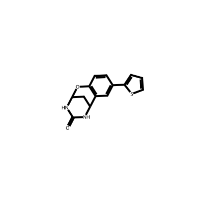 O=C1NC2CC(N1)c1cc(-c3cccs3)ccc1O2